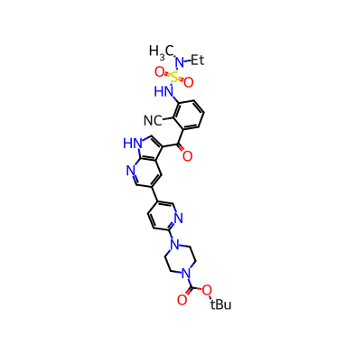 CCN(C)S(=O)(=O)Nc1cccc(C(=O)c2c[nH]c3ncc(-c4ccc(N5CCN(C(=O)OC(C)(C)C)CC5)nc4)cc23)c1C#N